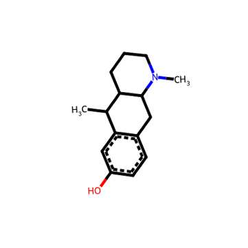 CC1c2cc(O)ccc2CC2C1CCCN2C